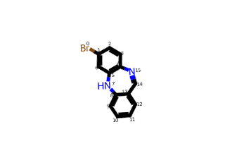 Brc1ccc2c(c1)Nc1ccccc1C=N2